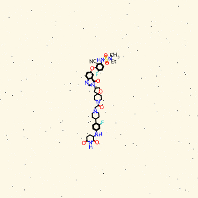 CCN(C)S(=O)(=O)Nc1ccc(F)c(Oc2ccc3ncn([C@H]4COC5(CCN(C(=O)CN6CCC(c7ccc(NC8CCC(=O)NC8=O)cc7F)CC6)CC5)C4)c(=O)c3c2)c1C#N